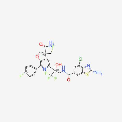 NC(=O)[C@@]1(CF)COc2c1cc([C@@](O)(CNC(=O)c1cc(Cl)c3nc(N)sc3c1)C(F)(F)F)nc2-c1ccc(F)cc1